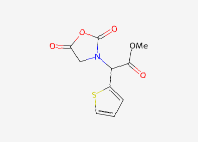 COC(=O)C(c1cccs1)N1CC(=O)OC1=O